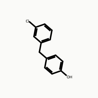 Oc1ccc(Cc2cccc(Cl)c2)cc1